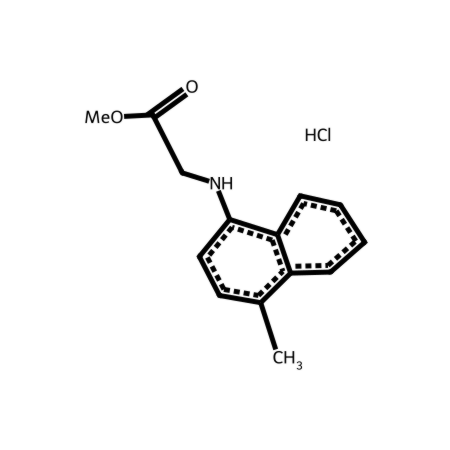 COC(=O)CNc1ccc(C)c2ccccc12.Cl